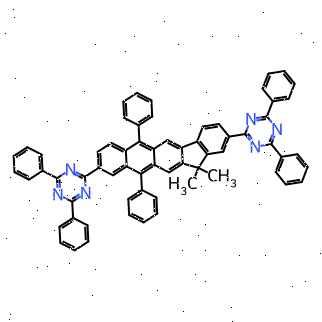 CC1(C)c2cc(-c3nc(-c4ccccc4)nc(-c4ccccc4)n3)ccc2-c2cc3c(-c4ccccc4)c4ccc(-c5nc(-c6ccccc6)nc(-c6ccccc6)n5)cc4c(-c4ccccc4)c3cc21